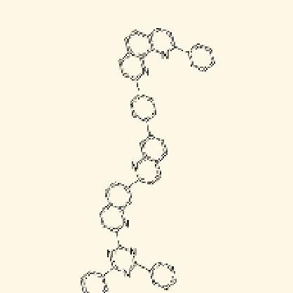 c1ccc(-c2ccc3ccc4ccc(-c5ccc(-c6ccc7ccc(-c8ccc9ccc(-c%10nc(-c%11ccccc%11)nc(-c%11ccccc%11)n%10)nc9c8)nc7c6)cc5)nc4c3n2)cc1